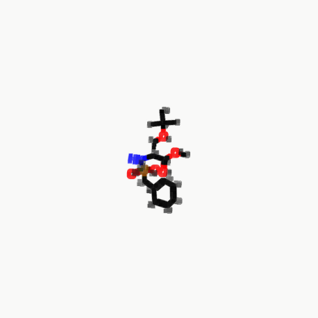 COC(=O)[C@@H](COC(C)(C)C)NS(=O)(=O)Cc1ccccc1